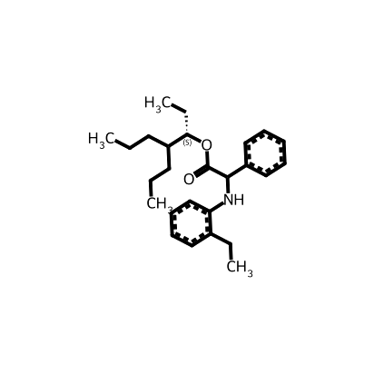 CCCC(CCC)[C@H](CC)OC(=O)C(Nc1ccccc1CC)c1ccccc1